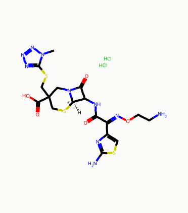 Cl.Cl.Cn1nnnc1SCC1(C(=O)O)CS[C@@H]2C(NC(=O)C(=NOCCN)c3csc(N)n3)C(=O)N2C1